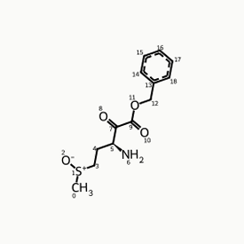 C[S+]([O-])CC[C@H](N)C(=O)C(=O)OCc1ccccc1